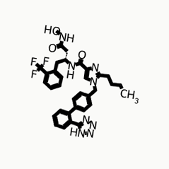 CCCCc1nc(C(=O)N[C@@H](CC(=O)NO)Cc2ccccc2C(F)(F)F)cn1Cc1ccc(-c2ccccc2-c2nnn[nH]2)cc1